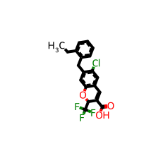 CCc1ccccc1Cc1cc2c(cc1Cl)C=C(C(=O)O)C(C(F)(F)F)O2